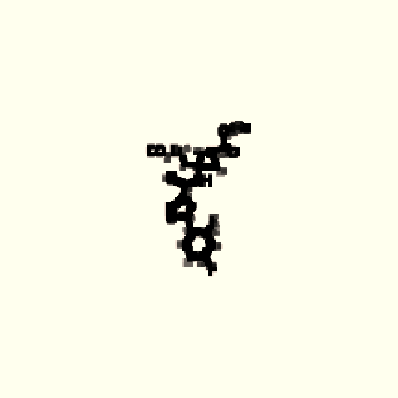 CCOC(=O)CC1(NC(=O)c2cc(-c3ccc(F)cc3F)on2)CN(C(=O)OC(C)(C)C)C1